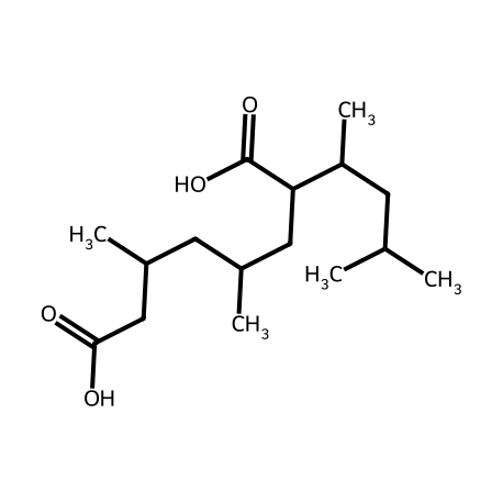 CC(C)CC(C)C(CC(C)CC(C)CC(=O)O)C(=O)O